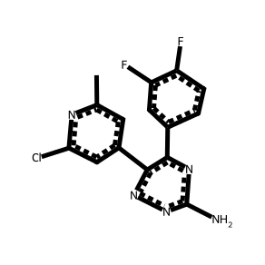 Cc1cc(-c2nnc(N)nc2-c2ccc(F)c(F)c2)cc(Cl)n1